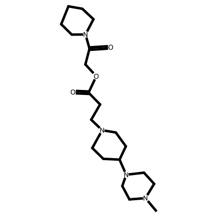 CN1CCN(C2CCN(CCC(=O)OCC(=O)N3CCCCC3)CC2)CC1